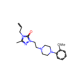 C=CCn1c(C)nn(CCN2CCN(c3ccccc3OC)CC2)c1=O